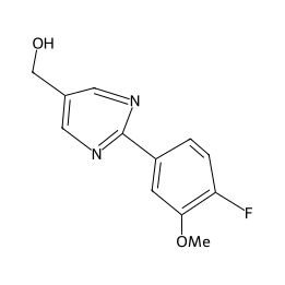 COc1cc(-c2ncc(CO)cn2)ccc1F